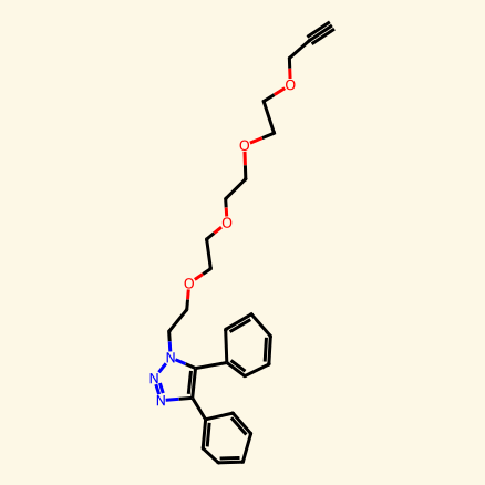 C#CCOCCOCCOCCOCCn1nnc(-c2ccccc2)c1-c1ccccc1